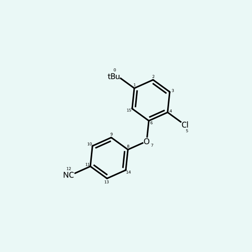 CC(C)(C)c1ccc(Cl)c(Oc2ccc(C#N)cc2)c1